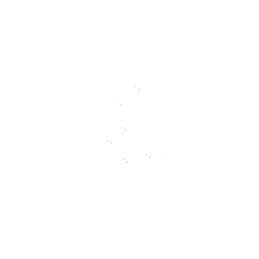 CCCN(Cc1nc2c(N3CCN4CCC[C@@H]4C3)cccc2[nH]1)[C@H]1CCCc2cccnc21